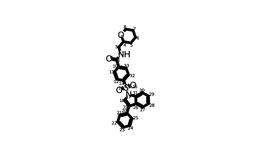 O=C(NCC1CCCCO1)c1ccc(S(=O)(=O)n2cc(-c3ccccc3)c3ccccc32)cc1